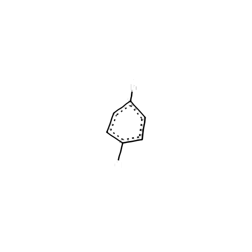 Oc1c[c]c(Br)cc1